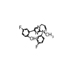 C[N+]1(c2ccc(F)cc2)C=CCn2cc(-c3cc(F)ccc3O)nc21